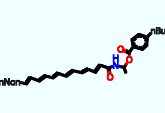 CCCCCCCCCC=CC=CC=CC=CC=CC=CC(=O)NC(C)OC(=O)c1ccc(CCCC)cc1